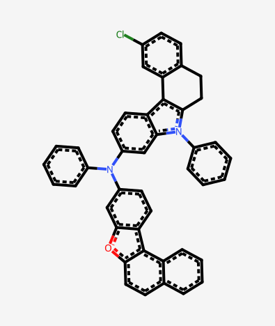 Clc1ccc2c(c1)-c1c(n(-c3ccccc3)c3cc(N(c4ccccc4)c4ccc5c(c4)oc4ccc6ccccc6c45)ccc13)CC2